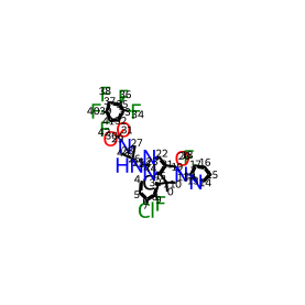 CC1(c2cccc(Cl)c2F)CN(c2ncccc2F)C(=O)c2cnc(NC3CN(C(=O)Oc4c(F)c(F)c(F)c(F)c4F)C3)nc21